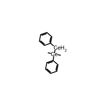 [CH3][Ge]([CH3])([GeH2][c]1ccccc1)[c]1ccccc1